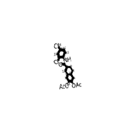 CC(=O)Oc1cc2c(cc1OC(C)=O)CCC(C(=O)Nc1ccc(Cl)cc1Cl)=C2